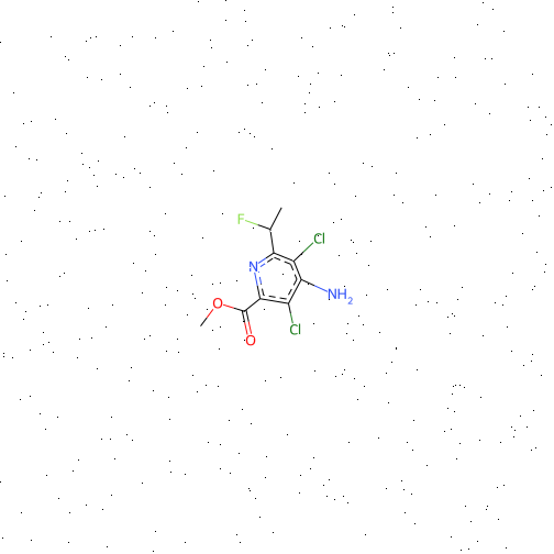 COC(=O)c1nc(C(C)F)c(Cl)c(N)c1Cl